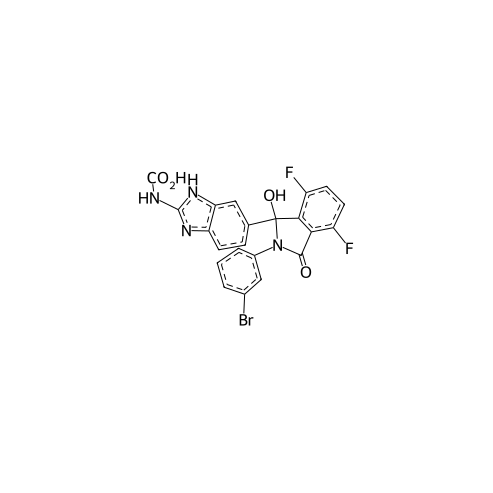 O=C(O)Nc1nc2ccc(C3(O)c4c(F)ccc(F)c4C(=O)N3c3cccc(Br)c3)cc2[nH]1